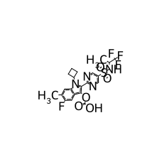 Cc1cc2c(cc1F)c(OC(=O)O)c(-c1ncc(S(=O)(=O)N[C@@H](C)C(F)(F)F)cn1)n2C1CCC1